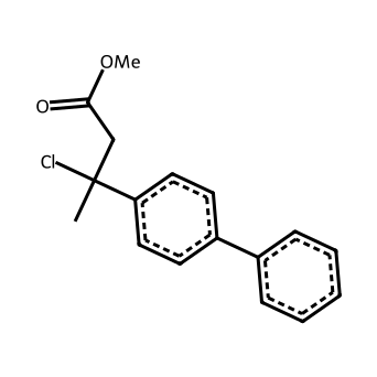 COC(=O)CC(C)(Cl)c1ccc(-c2ccccc2)cc1